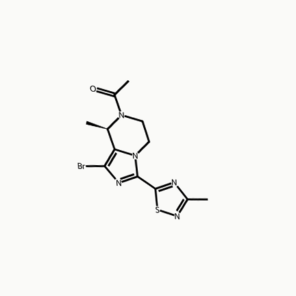 CC(=O)N1CCn2c(-c3nc(C)ns3)nc(Br)c2[C@H]1C